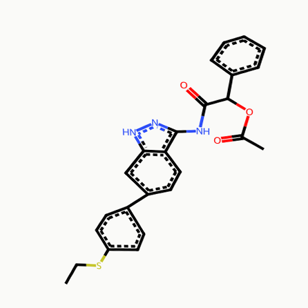 CCSc1ccc(-c2ccc3c(NC(=O)C(OC(C)=O)c4ccccc4)n[nH]c3c2)cc1